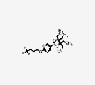 CCC1(CC)OB(c2cnc(OCCCC(F)(F)F)nc2)OC1(CC)CC